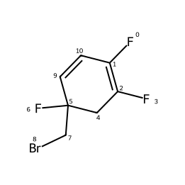 FC1=C(F)CC(F)(CBr)C=C1